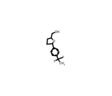 CC(F)(F)c1ccc(C2CCC(CO)O2)cc1